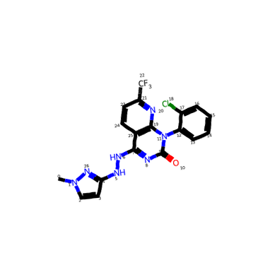 Cn1ccc(NNc2nc(=O)n(-c3ccccc3Cl)c3nc(C(F)(F)F)ccc23)n1